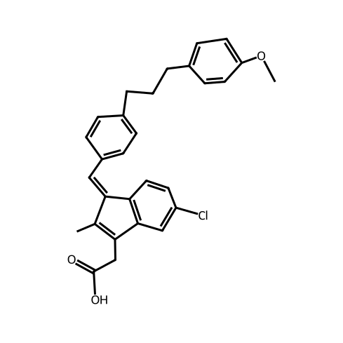 COc1ccc(CCCc2ccc(/C=C3/C(C)=C(CC(=O)O)c4cc(Cl)ccc43)cc2)cc1